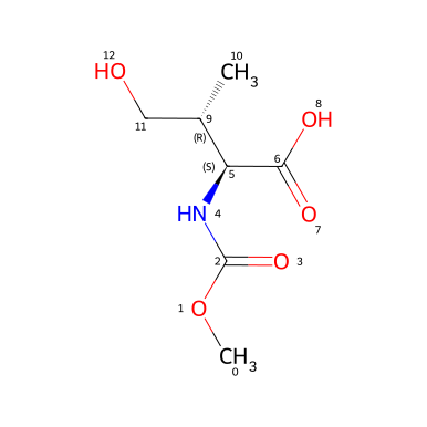 COC(=O)N[C@H](C(=O)O)[C@@H](C)CO